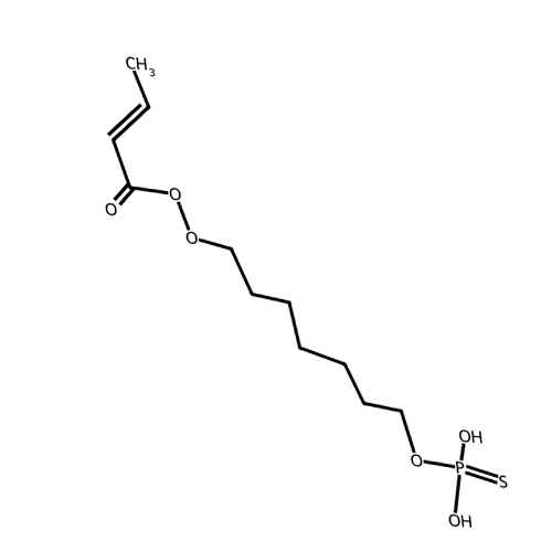 CC=CC(=O)OOCCCCCCCOP(O)(O)=S